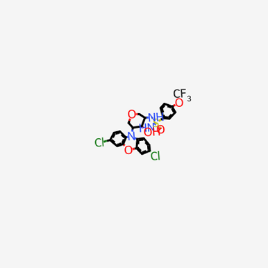 N=S(=O)(NC1COCC(N2c3ccc(Cl)cc3Oc3cc(Cl)ccc32)C1O)c1ccc(OC(F)(F)F)cc1